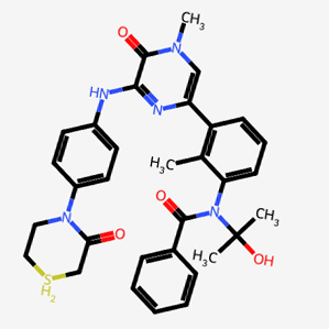 Cc1c(-c2cn(C)c(=O)c(Nc3ccc(N4CC[SH2]CC4=O)cc3)n2)cccc1N(C(=O)c1ccccc1)C(C)(C)O